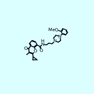 COc1ccccc1N1CCN(CCCNC(=O)c2cccc3c(=O)c(C)c(C4CC4)oc23)CC1